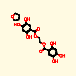 C1CCOC1.O=C(OCCOC(=O)c1cc(O)c(O)cc1O)c1cc(O)c(O)cc1O